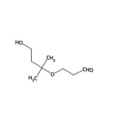 CC(C)(CCO)OCCC=O